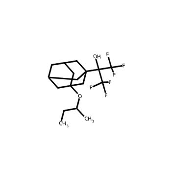 CCC(C)OC12CC3CC(C1)CC(C(O)(C(F)(F)F)C(F)(F)F)(C3)C2